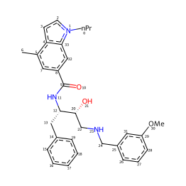 CCCn1ccc2c(C)cc(C(=O)N[C@@H](Cc3ccccc3)[C@H](O)CNCc3cccc(OC)c3)cc21